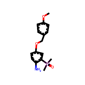 COc1ccc(COc2ccc(N)c(P(C)(C)=O)c2)cc1